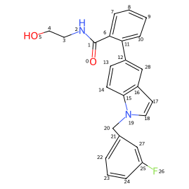 O=C(NCCO)c1ccccc1-c1ccc2c(ccn2Cc2cccc(F)c2)c1